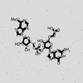 CSc1ncnc2c1ncn2[C@@H]1O[C@H](COP(=O)(O)O[C@H]2[C@@H](O)[C@@H](OC[PH](=O)O)O[C@H]2n2cnc3c(=O)[nH]c(N)nc32)[C@H](O)[C@@H]1O